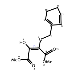 COC(=O)/C(O)=C(/OCC1=CCCC=C1)C(=O)OC